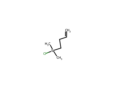 C=CCC[Si](C)(C)Cl